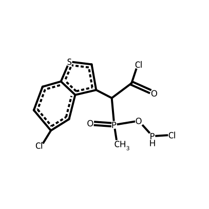 CP(=O)(OPCl)C(C(=O)Cl)c1csc2ccc(Cl)cc12